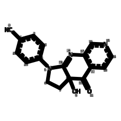 N#Cc1ccc(N2CCC3(O)C(=O)c4ccncc4N=C23)cc1